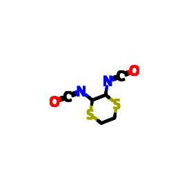 O=C=NC1SCCSC1N=C=O